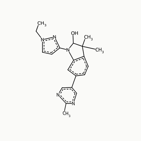 CCn1ccc(N2c3cc(-c4cnc(C)nc4)ccc3C(C)(C)C2O)n1